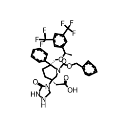 C[C@@H](OC[C@@]1(c2ccccc2)CC[C@](CC(=O)O)(N2CNNC2=O)CN1C(=O)OCc1ccccc1)c1cc(C(F)(F)F)cc(C(F)(F)F)c1